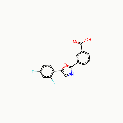 O=C(O)c1cccc(-c2ncc(-c3ccc(F)cc3F)o2)c1